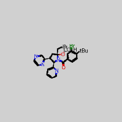 CC(C)C[C@]1(OC(=O)O)C[C@H](c2cnccn2)[C@H](c2ccccn2)N1C(=O)c1ccc(C(C)(C)C)c(Br)c1